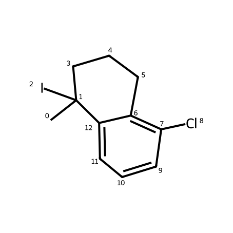 CC1(I)CCCc2c(Cl)cccc21